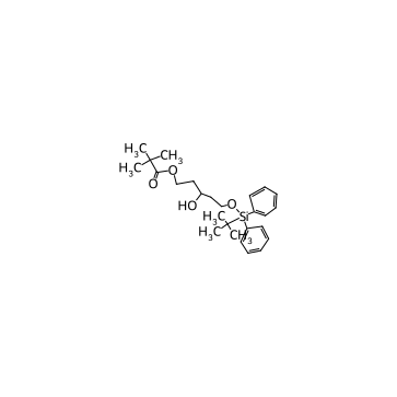 CC(C)(C)C(=O)OCCC(O)CCO[Si](c1ccccc1)(c1ccccc1)C(C)(C)C